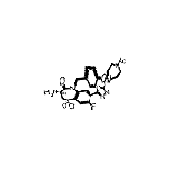 CC(=O)N1CCN(c2nnc(-c3cc4c(cc3F)S(=O)(=O)C[C@H](N)C(=O)N4Cc3ccc(Cl)cc3)o2)CC1